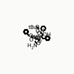 CC(C)(C)OC(=O)[C@@H]1CCCCN1C(=O)C(O)C(Cc1ccccc1)NC(=O)[C@H](CC(N)=O)NC(=O)OCc1ccccc1